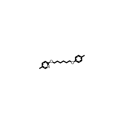 Cc1ccc(OCCCCCCOc2ccc(C)cn2)cc1